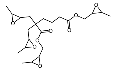 CC1OC1COC(=O)CCCC(CC1OC1C)(CC1OC1C)C(=O)OCC1OC1C